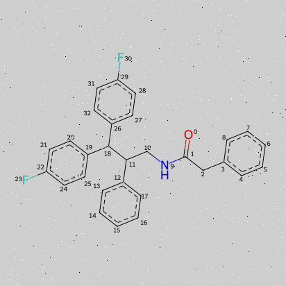 O=C(Cc1ccccc1)NCC(c1ccccc1)C(c1ccc(F)cc1)c1ccc(F)cc1